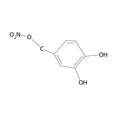 O=[N+]([O-])OCc1ccc(O)c(O)c1